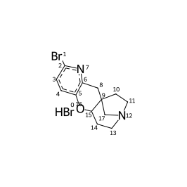 Br.Brc1ccc2c(n1)CC13CCN(CCC1O2)C3